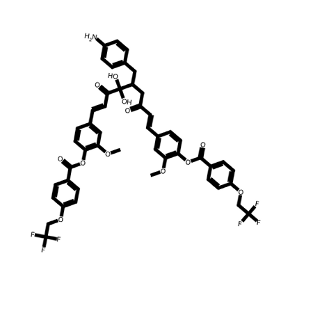 COc1cc(/C=C/C(=O)CC(Cc2ccc(N)cc2)C(O)(O)C(=O)/C=C/c2ccc(OC(=O)c3ccc(OCC(F)(F)F)cc3)c(OC)c2)ccc1OC(=O)c1ccc(OCC(F)(F)F)cc1